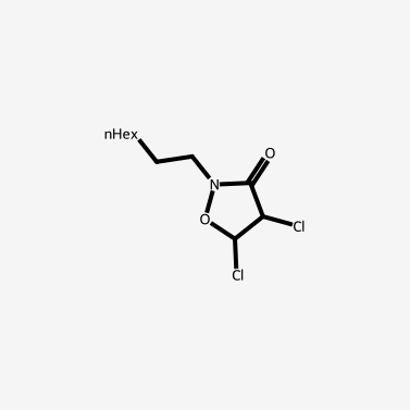 CCCCCCCCN1OC(Cl)C(Cl)C1=O